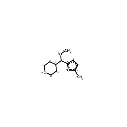 COC(c1ccc(C)o1)C1CCOCC1